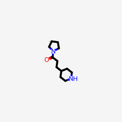 O=C(CCC1CCNCC1)N1C[CH]CC1